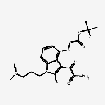 Cc1c(C(=O)C(N)=O)c2c(OCC(=O)OC(C)(C)C)cccc2n1CCCN(C)C